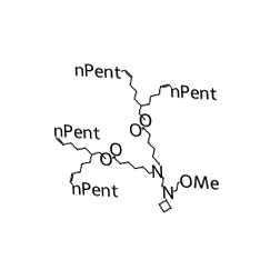 CCCCC/C=C\CCCC(CCC/C=C\CCCCC)COC(=O)CCCCCN(CCCCCC(=O)OCC(CCC/C=C\CCCCC)CCC/C=C\CCCCC)CCN(CCOC)C1CCC1